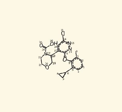 Cc1cccc(C2CC2)c1Oc1nnc(Cl)cc1C1COCCN1C(=O)O